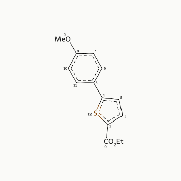 CCOC(=O)c1ccc(-c2ccc(OC)cc2)s1